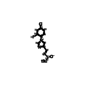 CC(C)(C)[S@+]([O-])/N=C/c1cn(-c2ccc(Cl)cc2F)cn1